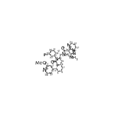 COc1cc(-c2cccc3cc([C@H](C)NC(=O)c4c(N)nn5cccnc45)n(-c4cccc(F)c4)c(=O)c23)ccn1